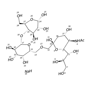 CC(=O)N[C@H]1[C@H]([C@H](O)[C@H](O)CO)O[C@](O)(COC[C@H]2O[C@@H](O[C@H]3[C@H](O)[C@@H](O)[C@@H](O)O[C@@H]3CO)[C@H](O)[C@@H](O)[C@H]2O)C[C@@H]1O.[NaH]